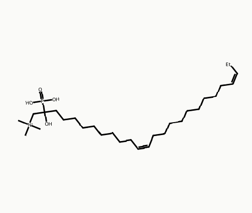 CC/C=C\CCCCCCCCC/C=C\CCCCCCCCCC(O)(C[N+](C)(C)C)P(=O)(O)O